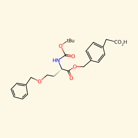 CC(C)(C)OC(=O)N[C@@H](CCOCc1ccccc1)C(=O)OCc1ccc(CC(=O)O)cc1